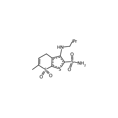 CC1=CCc2c(sc(S(N)(=O)=O)c2NCC(C)C)S1(=O)=O